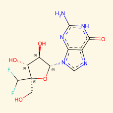 Nc1nc2c(ncn2[C@@H]2O[C@@](CO)(C(F)F)[C@H](O)[C@H]2O)c(=O)[nH]1